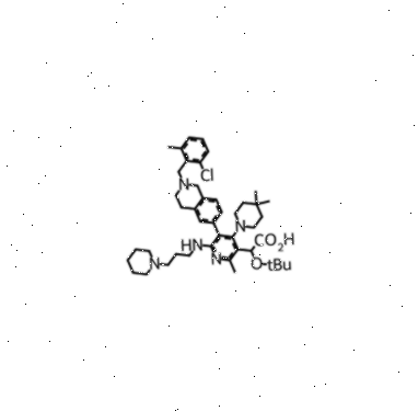 Cc1cccc(Cl)c1CN1CCc2cc(-c3c(NCCCN4CCCCC4)nc(C)c(C(OC(C)(C)C)C(=O)O)c3N3CCC(C)(C)CC3)ccc2C1